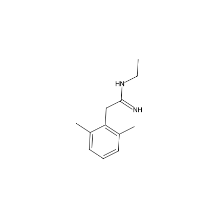 CCNC(=N)Cc1c(C)cccc1C